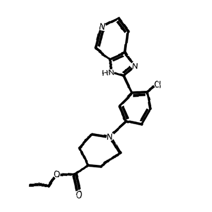 CCOC(=O)C1CCN(c2ccc(Cl)c(-c3nc4ccncc4[nH]3)c2)CC1